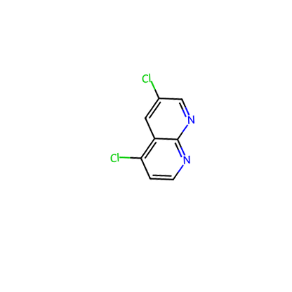 Clc1cnc2nccc(Cl)c2c1